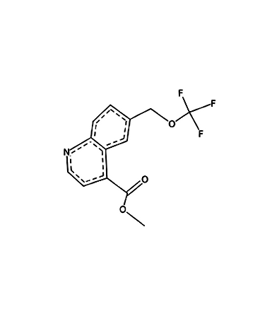 COC(=O)c1ccnc2ccc(COC(F)(F)F)cc12